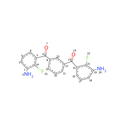 Nc1cccc(C(=O)c2cccc(C(=O)c3cccc(N)c3F)c2)c1F